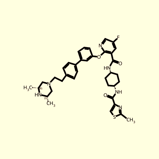 Cc1nc(C(=O)N[C@H]2CC[C@@H](NC(=O)c3cc(F)cnc3Oc3cccc(-c4ccc(CCN5C[C@@H](C)N[C@@H](C)C5)cc4)c3)CC2)cs1